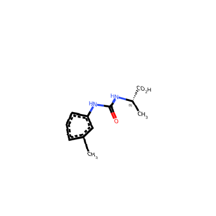 Cc1cccc(NC(=O)N[C@@H](C)C(=O)O)c1